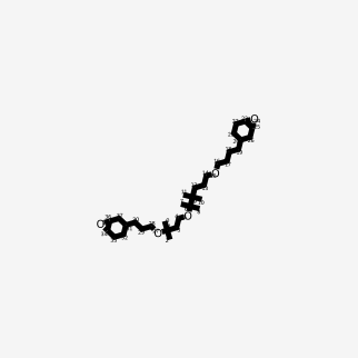 CC(C)(CCOC(C)(C)C(C)(C)CCCOCCCCC1CCC2OC2C1)OCCCC1CCC2OC2C1